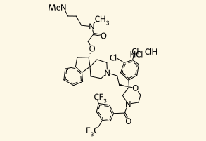 CNCCCN(C)C(=O)CO[C@H]1Cc2ccccc2C12CCN(CC[C@]1(c3ccc(Cl)c(Cl)c3)CN(C(=O)c3cc(C(F)(F)F)cc(C(F)(F)F)c3)CCO1)CC2.Cl.Cl